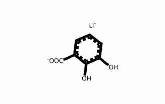 O=C([O-])c1cccc(O)c1O.[Li+]